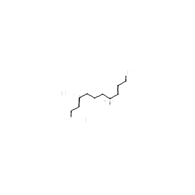 CC(C)CCC[C@@H](C)CCC[C@@H](C)CCC(=O)O